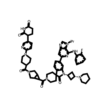 CC(C)n1cnc2cc(-c3ccc4c(c3)N([C@H]3C[C@@H](N5CCCCC5)C3)C(=O)C43CCN(C(=O)C4C5CN(C(=O)C6CCN(c7ccc(C8CCC(=O)NC8=O)cn7)CC6)CC54)CC3)nc(Nc3ccccc3F)c21